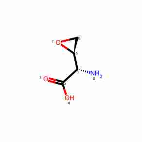 N[C@H](C(=O)O)[C@@H]1CO1